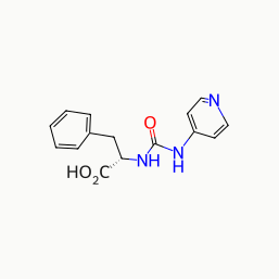 O=C(Nc1ccncc1)N[C@@H](Cc1ccccc1)C(=O)O